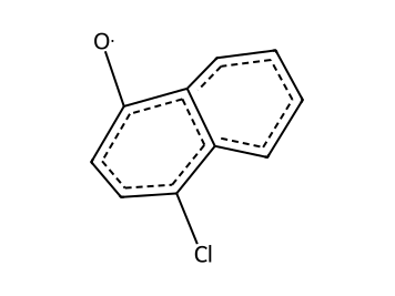 [O]c1ccc(Cl)c2ccccc12